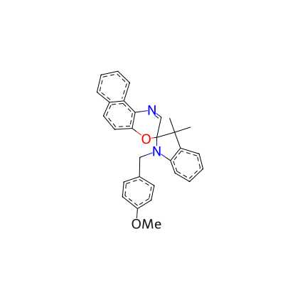 COc1ccc(CN2c3ccccc3C(C)(C)C23C=Nc2c(ccc4ccccc24)O3)cc1